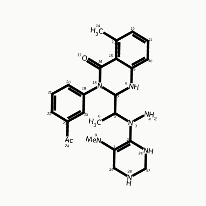 CNC1=C(N(N)C(C)C2Nc3cccc(C)c3C(=O)N2c2cccc(C(C)=O)c2)NCNC1